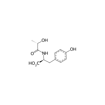 C[C@H](O)C(=O)N[C@@H](Cc1ccc(O)cc1)C(=O)O